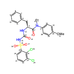 CCN(C(=O)[C@H](Cc1ccccc1)NC(=O)NS(=O)(=O)c1cccc(Cl)c1Cl)c1ccc(OC)cc1